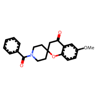 COc1ccc2c(c1)C(=O)CC1(CCN(C(=O)c3ccccc3)CC1)O2